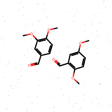 COc1ccc(C=O)cc1OC.COc1ccc(OC)c(C=O)c1